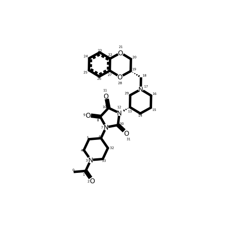 CC(=O)N1CCC(N2C(=O)C(=O)N([C@H]3CCCN(C[C@H]4COc5ccccc5O4)C3)C2=O)CC1